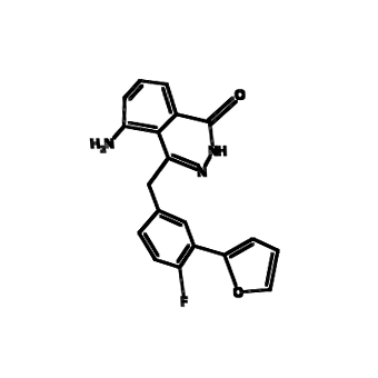 Nc1cccc2c(=O)[nH]nc(Cc3ccc(F)c(-c4ccco4)c3)c12